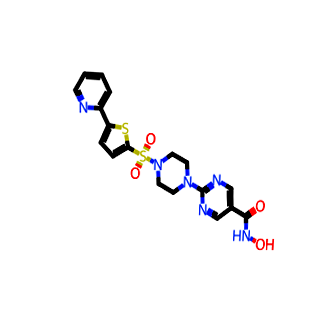 O=C(NO)c1cnc(N2CCN(S(=O)(=O)c3ccc(-c4ccccn4)s3)CC2)nc1